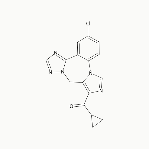 O=C(c1ncn2c1Cn1ncnc1-c1cc(Cl)ccc1-2)C1CC1